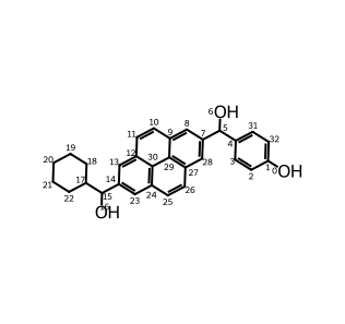 Oc1ccc(C(O)c2cc3ccc4cc(C(O)C5CCCCC5)cc5ccc(c2)c3c45)cc1